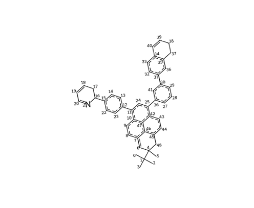 CC(C)(C)C1(C)C=c2ccc3c(-c4ccc(C5CC=CC=N5)cc4)cc(-c4cccc(-c5ccc6c(c5)CCC=C6)c4)c4ccc(c2c34)C1